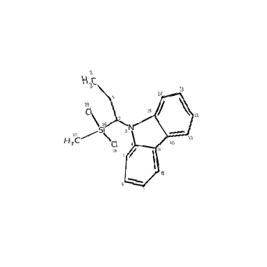 CCC(n1c2ccccc2c2ccccc21)[Si](C)(Cl)Cl